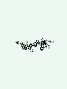 CCCCC[C@@H](C(=O)NCNC(=O)c1ccc(-c2ccc(C(=O)N[C@@H](CC(=O)OC(C)(C)C)C(=O)OC(C)(C)C)c(OCC)c2)o1)[C@@H](CC)N(C=O)OCc1ccccc1